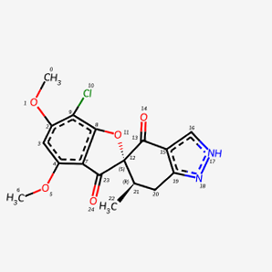 COc1cc(OC)c2c(c1Cl)O[C@@]1(C(=O)c3c[nH]nc3C[C@H]1C)C2=O